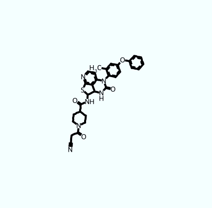 Cc1cc(Oc2ccccc2)ccc1N1C(=O)NC2c3c1ccnc3SC2NC(=O)C1CCN(C(=O)CC#N)CC1